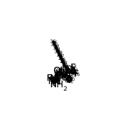 C#C[C@]1(COP(=O)(N[C@@H](Cc2cc(F)cc(F)c2)C(=O)OCCCCCCCCCCCCCCCC)Oc2ccccc2)O[C@@H](n2cnc3c(N)nc(F)nc32)C[C@@H]1O